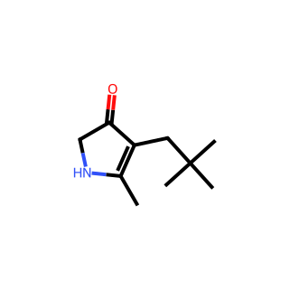 CC1=C(CC(C)(C)C)C(=O)CN1